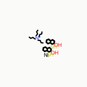 CCCC[N+](CCCC)(CCCC)CCCC.Oc1ccc2ccccc2c1S.Oc1ccc2ccccc2c1S.[Ni]